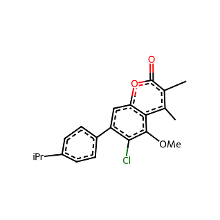 COc1c(Cl)c(-c2ccc(C(C)C)cc2)cc2oc(=O)c(C)c(C)c12